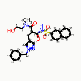 CN(CCO)C(=O)C(Cc1cnn(Cc2ccccc2)c1)C(=O)NS(=O)(=O)c1ccc2ccccc2c1